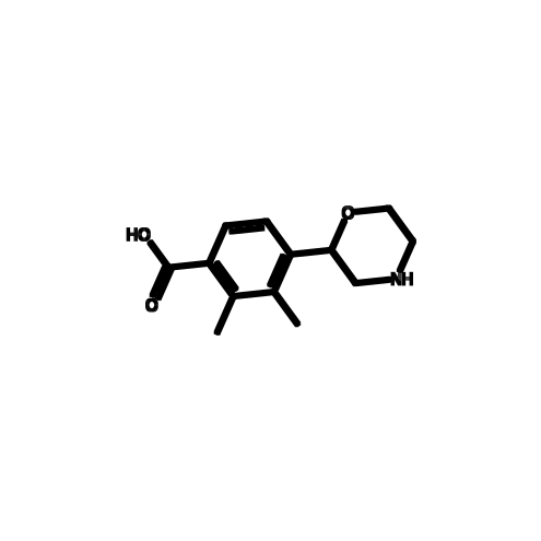 Cc1c(C(=O)O)ccc(C2CNCCO2)c1C